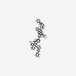 CC1(C)c2ccc(N(c3ccc4ccc5oc(-c6ccccc6)nc5c4c3)c3ccccc3-c3ccccc3)cc2-c2ccc(-c3ccc4c(c3)C(C)(C)c3ccc(N(c5ccc6ccc7nc(-c8ccccc8)oc7c6c5)c5ccccc5-c5ccccc5)cc3-4)cc21